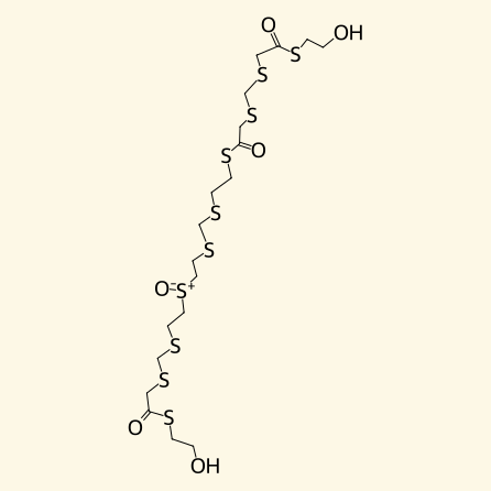 O=C(CSCSCC[S+]([O-])CCSCSCCSC(=O)CSCSCC(=O)SCCO)SCCO